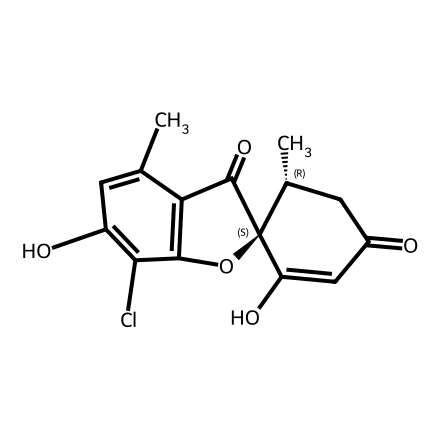 Cc1cc(O)c(Cl)c2c1C(=O)[C@@]1(O2)C(O)=CC(=O)C[C@H]1C